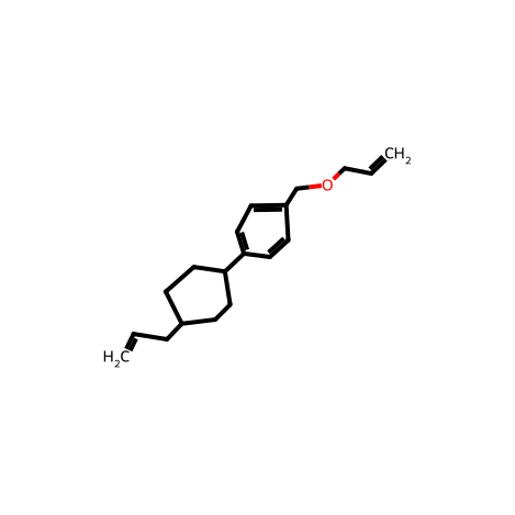 C=CCOCc1ccc(C2CCC(CC=C)CC2)cc1